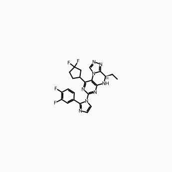 CC[C@H]1Nc2nc(-n3ccnc3-c3ccc(F)c(F)c3)nc(C3CCC(F)(F)C3)c2-n2cnnc21